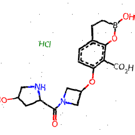 Cl.O=C(O)c1c(OC2CN(C(=O)C3CC(O)CN3)C2)ccc2c1OB(O)CC2